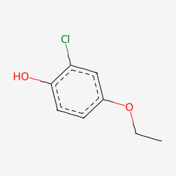 CCOc1ccc(O)c(Cl)c1